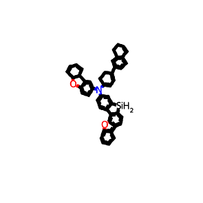 C1=CC2Oc3ccc(N(C4=CC=C(c5ccc6c(c5)CCC=C6)CC4)c4ccc5c(c4)[SiH2]c4ccc6c(oc7ccccc76)c4-5)cc3C2C=C1